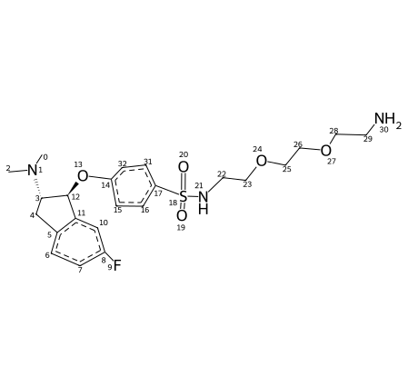 CN(C)[C@H]1Cc2ccc(F)cc2[C@@H]1Oc1ccc(S(=O)(=O)NCCOCCOCCN)cc1